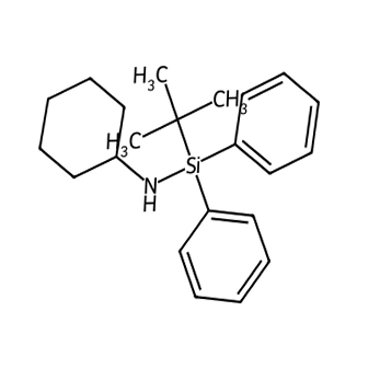 CC(C)(C)[Si](NC1CCCCC1)(c1ccccc1)c1ccccc1